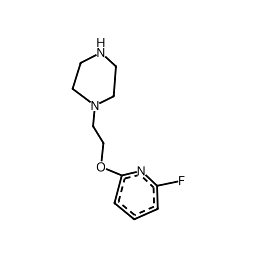 Fc1cccc(OCCN2CCNCC2)n1